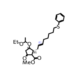 CCOC(C)O[C@@H]1CC(=O)C(C(=O)OC)[C@H]1C/C=C/CCCCCSc1ccccc1